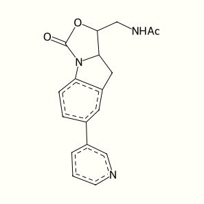 CC(=O)NCC1OC(=O)N2c3ccc(-c4cccnc4)cc3CC12